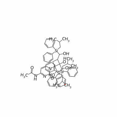 CC(=O)Nc1ccn(C2(C(O)[Si](CC(C)C)(c3ccccc3)c3ccccc3)CC(C(O)[Si](CC(C)C)(c3ccccc3)c3ccccc3)C2(O)C(O)[Si](CC(C)C)(c2ccccc2)c2ccccc2)c(=O)n1